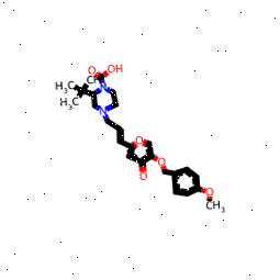 COc1ccc(COc2coc(C=CCN3CCN(C(=O)O)C(C(C)(C)C)C3)cc2=O)cc1